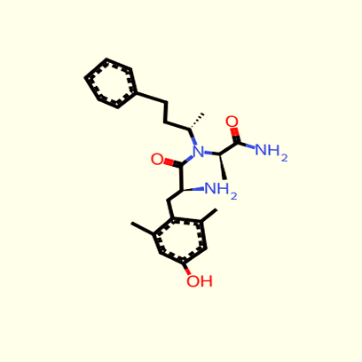 Cc1cc(O)cc(C)c1C[C@H](N)C(=O)N([C@H](C)C(N)=O)[C@@H](C)CCc1ccccc1